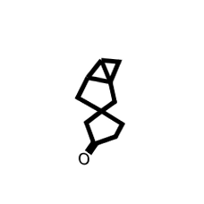 O=C1CCC2(C1)CC1C3CC13C2